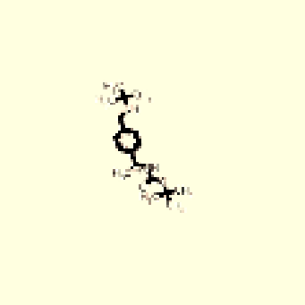 C[C@H](NC(=O)OC(C)(C)C)c1ccc(CNC(C)(C)C)cc1